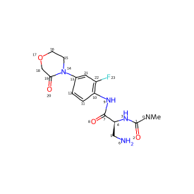 CNC(=O)N[C@@H](CN)C(=O)Nc1ccc(N2CCOCC2=O)cc1F